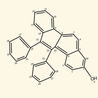 Oc1ccc2c(ccc3c4ccccc4c(-c4ccccc4)c(-c4ccccc4)c23)c1